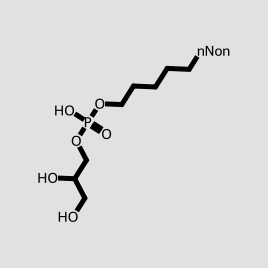 CCCCCCCCCCCCCCOP(=O)(O)OCC(O)CO